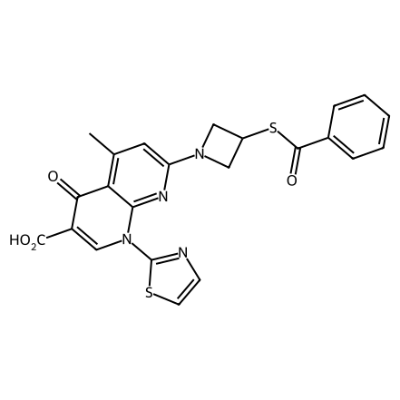 Cc1cc(N2CC(SC(=O)c3ccccc3)C2)nc2c1c(=O)c(C(=O)O)cn2-c1nccs1